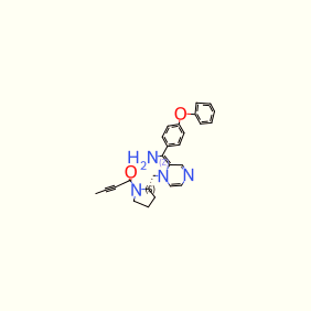 CC#CC(=O)N1CCC[C@H]1CN1C=CN=C/C1=C(/N)c1ccc(Oc2ccccc2)cc1